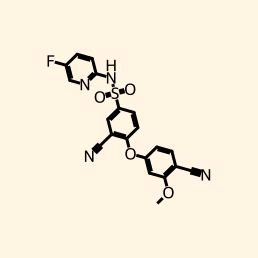 COc1cc(Oc2ccc(S(=O)(=O)Nc3ccc(F)cn3)cc2C#N)ccc1C#N